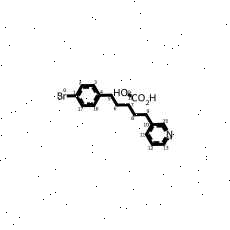 Brc1ccc(CCCCCc2cccnc2)cc1.O=C(O)O